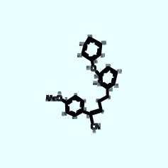 COc1ccc(/C(C#N)=C\CCc2cccc(Oc3ccccc3)n2)cc1